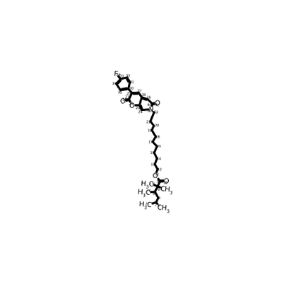 CC(C)CC(C)C(C)(C)C(=O)OCCCCCCCCCCCn1cc2oc(=O)c(-c3ccc(F)cc3)cc2cc1=O